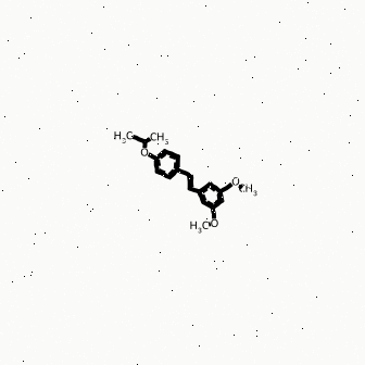 COc1cc(C=Cc2ccc(OC(C)C)cc2)cc(OC)c1